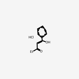 CCC(=O)C=C(O)c1ccccc1.Cl